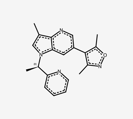 Cc1noc(C)c1-c1cnc2c(C)cn([C@H](C)c3ccccn3)c2c1